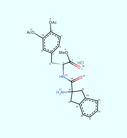 COC(=O)[C@@H](Cc1ccc(OC(C)=O)c(OC(C)=O)c1)NC(=O)C1(N)Cc2ccccc2C1.Cl